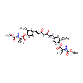 COc1cc(/C=C/C(=O)CC(=O)/C=C/c2ccc(OC(=O)[C@H](C)NC(=O)OC(C)(C)C)c(OC)c2)ccc1OC(=O)[C@H](C)NC(=O)OC(C)(C)C